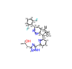 C[C@@H](O)Cc1n[nH]c(-c2cccc(C34CC[C@@H](c5cc(-c6c(F)cccc6F)nnc53)C4(C)C)n2)n1